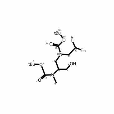 CN(C(=O)OC(C)(C)C)C(CO)CN(CC(F)F)C(=O)OC(C)(C)C